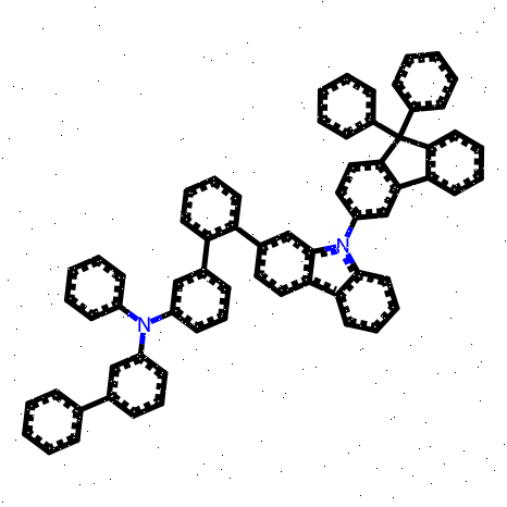 c1ccc(-c2cccc(N(c3ccccc3)c3cccc(-c4ccccc4-c4ccc5c6ccccc6n(-c6ccc7c(c6)-c6ccccc6C7(c6ccccc6)c6ccccc6)c5c4)c3)c2)cc1